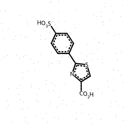 O=C(O)c1csc(-c2ccc(S(=O)(=O)O)cc2)n1